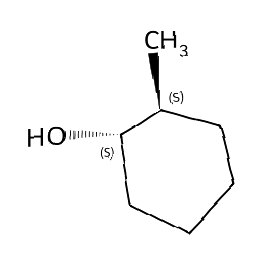 C[C@H]1CCCC[C@@H]1O